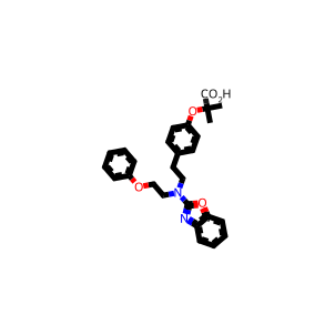 CC(C)(Oc1ccc(CCN(CCOc2ccccc2)c2nc3ccccc3o2)cc1)C(=O)O